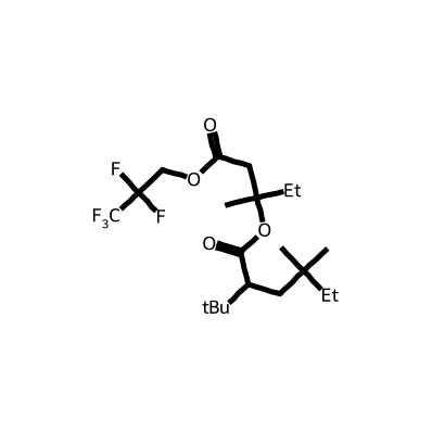 CCC(C)(C)CC(C(=O)OC(C)(CC)CC(=O)OCC(F)(F)C(F)(F)F)C(C)(C)C